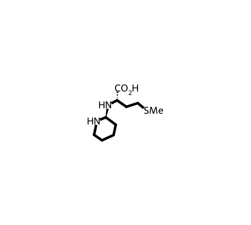 CSCC[C@H](N[C@H]1CCCCN1)C(=O)O